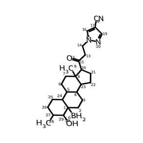 BC12CCC3C(CCC4(C)C(C(=O)CCn5cc(C#N)cn5)CCC34)C1CCC(C)C2O